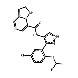 O=C(Nc1c[nH]nc1-c1cc(Cl)ccc1OC(F)F)C1=CN=CC2=CCNN21